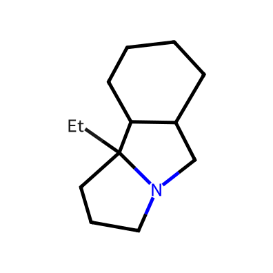 CCC12CCCN1CC1CCCCC12